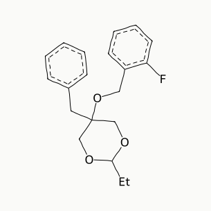 CCC1OCC(Cc2ccccc2)(OCc2ccccc2F)CO1